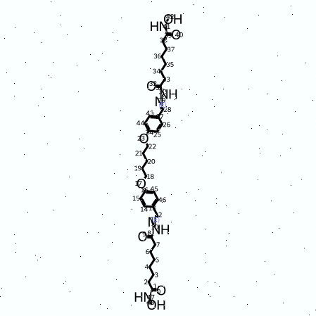 O=C(CCCCCCC(=O)N/N=C/c1ccc(OCCCCCOc2ccc(/C=N/NC(=O)CCCCCCC(=O)NO)cc2)cc1)NO